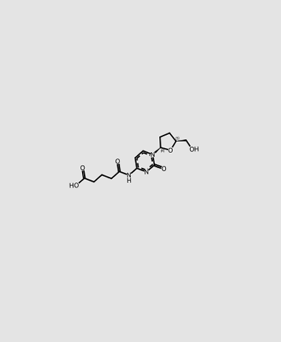 O=C(O)CCCC(=O)Nc1ccn([C@H]2CC[C@@H](CO)O2)c(=O)n1